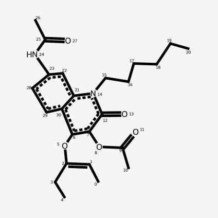 CC=C(CC)Oc1c(OC(C)=O)c(=O)n(CCCCCC)c2cc(NC(C)=O)ccc12